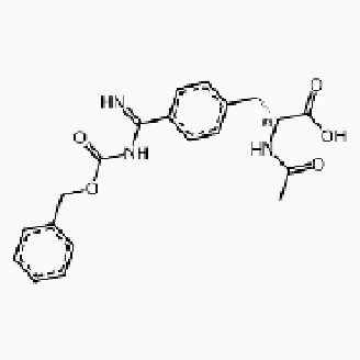 CC(=O)N[C@H](Cc1ccc(C(=N)NC(=O)OCc2ccccc2)cc1)C(=O)O